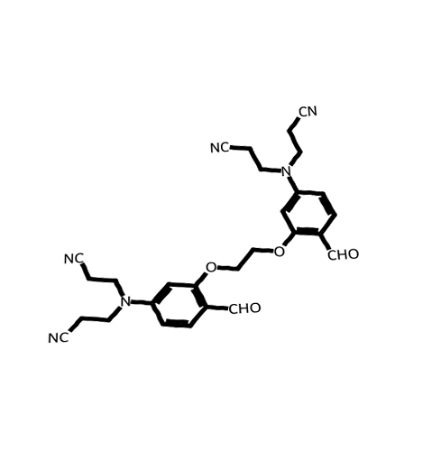 N#CCCN(CCC#N)c1ccc(C=O)c(OCCOc2cc(N(CCC#N)CCC#N)ccc2C=O)c1